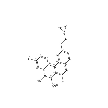 Cc1cc2ccc(CCC3CC3)cc2c(C2C=CC(Cl)=CC2)c1C(OC(C)(C)C)C(=O)O